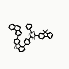 CC1(C)c2ccccc2-c2ccc(-c3nc(-c4ccccc4)nc(-c4ccc(-c5cccc6oc7ccc(-c8ccc9ccc%10ccccc%10c9c8)cc7c56)cc4)n3)cc21